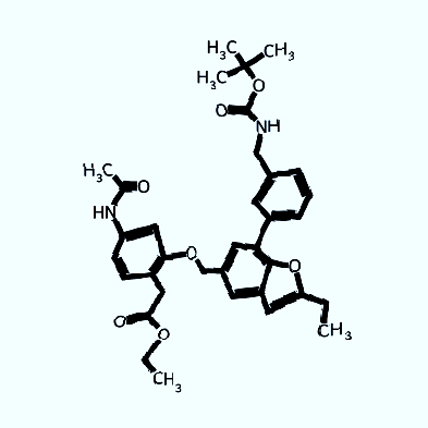 CCOC(=O)Cc1ccc(NC(C)=O)cc1OCc1cc(-c2cccc(CNC(=O)OC(C)(C)C)c2)c2oc(CC)cc2c1